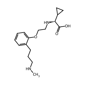 CNCCCc1ccccc1OCCN[C@H](C(=O)O)C1CC1